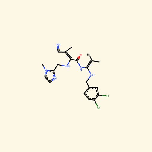 CC/C(C)=C(/NCc1ccc(Cl)c(Cl)c1)NC(=O)/C(NCc1nccn1C)=C(\C)C=N